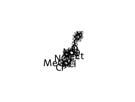 CCOc1cc2c(N(F)c3cc(OC)c(Cl)cc3Cl)c(C#N)cnc2cc1OCCCC1CCN(C)CC1